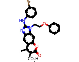 Cc1c(C(=O)O)c(=O)oc2cc3c(cc12)nc(Nc1cccc(Br)c1)n3CCOc1ccccc1